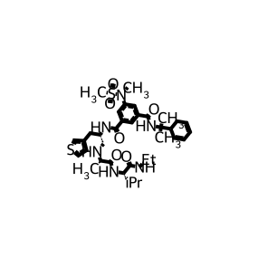 CCNC(=O)[C@@H](NC(=O)[C@H](C)NC[C@H](Cc1ccsc1)NC(=O)c1cc(C(=O)NC(C)(C)C2C=CC=CC2)cc(N(C)S(C)(=O)=O)c1)C(C)C